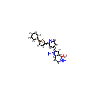 O=C1NCCc2[nH]c(-c3ccnc(-c4ccc(-c5ccccc5)s4)c3)cc21